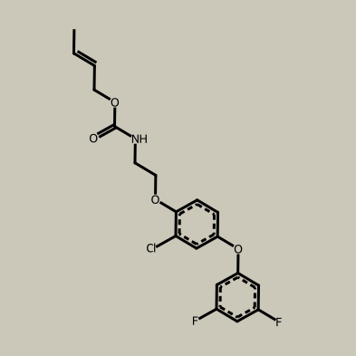 CC=CCOC(=O)NCCOc1ccc(Oc2cc(F)cc(F)c2)cc1Cl